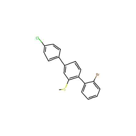 CSc1cc(-c2ccc(Cl)cc2)ccc1-c1ccccc1Br